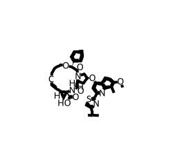 COc1ccc2c(O[C@@H]3C[C@H]4C(=O)N[C@]5(C(=O)O)C[C@H]5/C=C\CCCCO[C@H](c5ccccc5)C(=O)N4C3)cc(-c3nc(C(C)C)cs3)nc2c1C